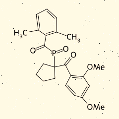 COc1ccc(C(=O)C2([P](=O)C(=O)c3c(C)cccc3C)CCCC2)c(OC)c1